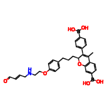 CC1=C(c2ccc(B(O)O)cc2)C(CCCc2ccc(OCCNC/C=C/C=O)cc2)Oc2cc(B(O)O)ccc21